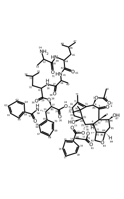 CC(=O)O[C@H]1C(=O)[C@@]2(C)[C@H]([C@H](OC(=O)c3ccccc3)[C@]3(O)C[C@H](OC(=O)[C@H](OC(=O)C(CC(C)C)NC(=O)C(C)NC(=O)C(CC(C)C)NC(=O)C(C)N)[C@@H](NC(=O)c4ccccc4)c4ccccc4)C(C)=C1C3(C)C)[C@]1(OC(C)=O)CO[C@@H]1C[C@@H]2O